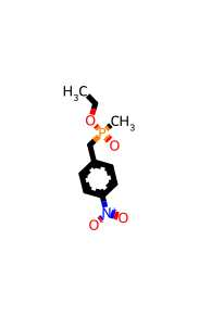 CCOP(C)(=O)Cc1ccc([N+](=O)[O-])cc1